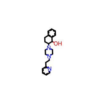 OC1c2ccccc2CCC1N1CCN(CCc2ccccn2)CC1